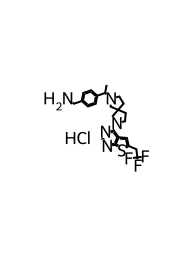 CC(c1ccc(CN)cc1)N1CCC2(CCN(c3ncnc4sc(CC(F)(F)F)cc34)C2)C1.Cl